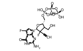 C#CC1(F)C(CO)[C@@H](COP(=O)(O)OP(=O)(O)OP(=O)(O)O)O[C@H]1n1cc(F)c2c(=O)[nH]c(N)nc21